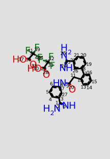 N=C(N)c1cccc(NC(=O)Cc2ccccc2-c2cccc(C(=N)N)c2)c1.O=C(O)C(F)(F)F.O=C(O)C(F)(F)F